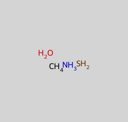 C.N.O.S